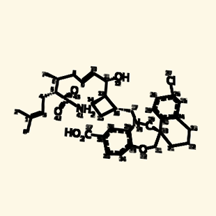 CC(C)=CC[C@H]([C@@H](C)C/C=C/[C@H](O)[C@@H]1CC[C@H]1CN1C[C@@]2(CCCc3cc(Cl)ccc32)COc2ccc(C(=O)O)cc21)S(N)(=O)=O